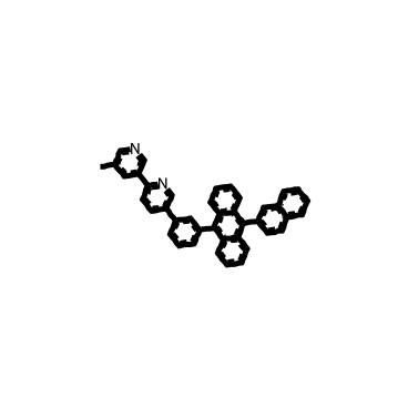 Cc1cncc(-c2ccc(-c3cccc(-c4c5ccccc5c(-c5ccc6ccccc6c5)c5ccccc45)c3)cn2)c1